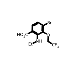 CCNc1c(C(=O)O)ccc(Br)c1OCC(F)(F)F